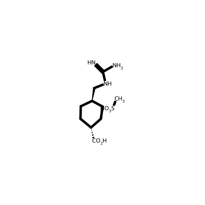 CS(=O)(=O)O.N=C(N)NC[C@H]1CC[C@H](C(=O)O)CC1